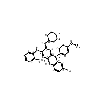 COc1ncccc1Nc1cc2nc3ccc(F)cc3n(C3=CC=C(OC(F)(F)F)CC3)c-2c/c1=N\C1CCOCC1